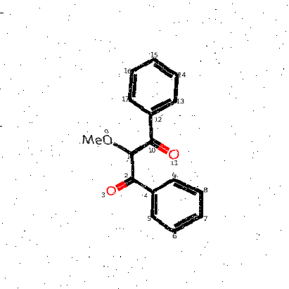 COC(C(=O)c1ccccc1)C(=O)c1ccccc1